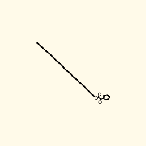 C#CC#CC#CC#CC#CC#CC#CC#CC#CC#CC#CC#CC#CC#COC(=O)C(=O)c1ccccc1